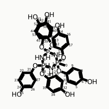 CP1(Oc2ccc(O)cc2)(Oc2ccc(O)cc2)N[PH](Oc2ccc(O)cc2)(Oc2ccc(O)cc2)N[PH](Oc2ccc(O)cc2)(Oc2ccc(O)cc2)N1